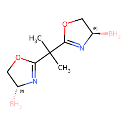 B[C@@H]1COC(C(C)(C)C2=N[C@H](B)CO2)=N1